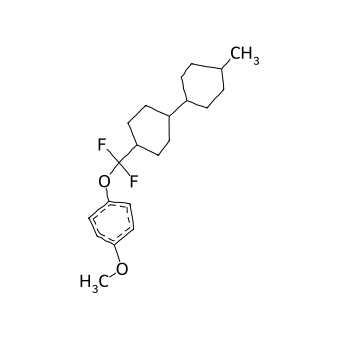 COc1ccc(OC(F)(F)C2CCC(C3CCC(C)CC3)CC2)cc1